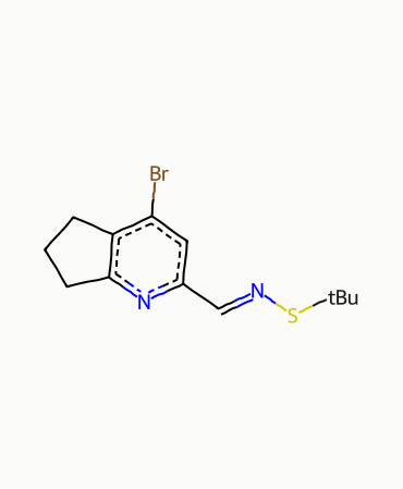 CC(C)(C)S/N=C/c1cc(Br)c2c(n1)CCC2